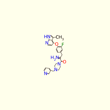 Cc1c[nH]c2nccc(Oc3ccc(C[C@H](N)C(=O)N4CCN(Cc5cccnc5)CC4)cc3F)c12